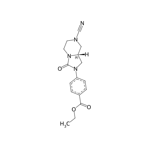 CCOC(=O)c1ccc(N2C[C@H]3CN(C#N)CCN3C2=O)cc1